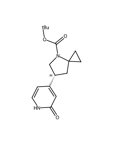 CC(C)(C)OC(=O)N1C[C@@H](c2cc[nH]c(=O)c2)CC12CC2